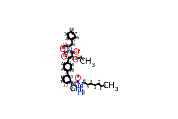 CCCCCCCNC(=O)N(C)c1cccc(-c2ccc(CC(OCC)C(=O)N3C(=O)OCC3Cc3ccccc3)cc2)c1